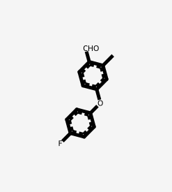 Cc1cc(Oc2ccc(F)cc2)ccc1C=O